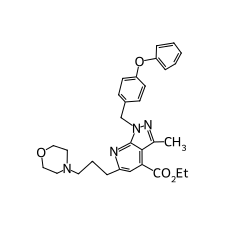 CCOC(=O)c1cc(CCCN2CCOCC2)nc2c1c(C)nn2Cc1ccc(Oc2ccccc2)cc1